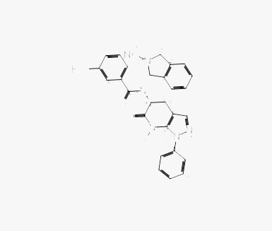 CCN1C(=O)[C@@H](NC(=O)c2cccc(C(F)(F)F)c2)[C@H](c2cccc3c2CN(C#N)C3)c2cnn(-c3ccccc3)c21